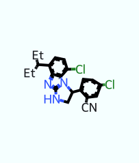 CCC(CC)c1ccc(Cl)c2c1nc1n2C(c2ccc(Cl)cc2C#N)CN1